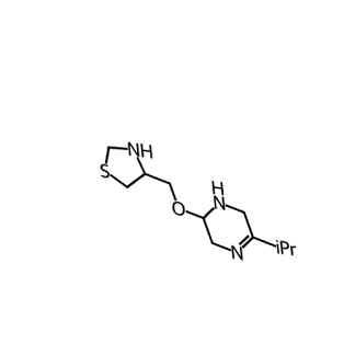 CC(C)C1=NCC(OCC2CSCN2)NC1